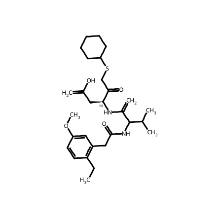 C=C(O)C[C@H](NC(=C)C(NC(=O)Cc1cc(OC)ccc1CC)C(C)C)C(=O)CSC1CCCCC1